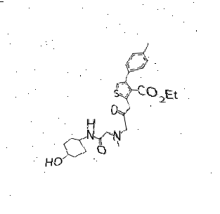 CCOC(=O)c1c(-c2ccc(C)cc2)csc1CC(=O)CN(C)CC(=O)NC1CCC(O)CC1